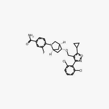 NC(=O)c1ccc(N2C[C@@H]3C[C@H]2C[C@H]3OCc2c(-c3c(Cl)cccc3Cl)noc2C2CC2)c(F)c1